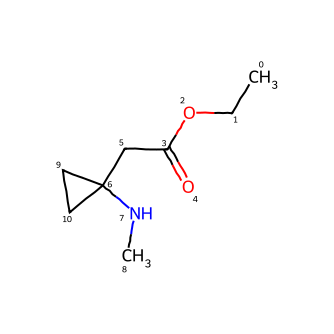 CCOC(=O)CC1(NC)CC1